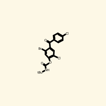 CC(C)(C)NC(=O)Oc1cc(Br)c(C(=O)c2ccc(Cl)cc2)cc1Cl